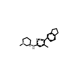 Cc1cc(N[C@@H]2CCCN(C)C2)nnc1-c1ccc2c(c1)CCC2